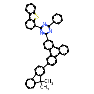 CC1(C)c2ccccc2-c2ccc(-c3ccc4c5ccccc5c5cc(-c6nc(-c7ccccc7)nc(-c7cccc8c7sc7ccccc78)n6)ccc5c4c3)cc21